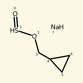 O=[SH]OCC1CC1.[NaH]